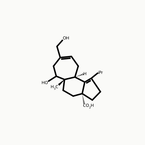 CC(C)C1=C2[C@@H]3CC=C(CO)CC(O)[C@@]3(C)CC[C@]2(C(=O)O)CC1